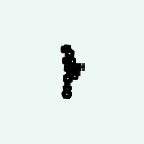 Cl.O=CNO.O=S(=O)(c1ccc(-c2ccc(N3Cc4ccccc4C3)cc2)cc1)N1CCc2ccoc2C1